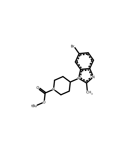 Cc1nc2ccc(Br)cc2n1C1CCN(C(=O)OC(C)(C)C)CC1